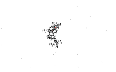 Cc1cnc(NC2[C@@H]3C[C@H]2CN(c2ccc(-c4cc(OCC(C)(C)O)cn5ncc(C#N)c45)cn2)C3)nc1